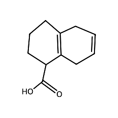 O=C(O)C1CCCC2=C1CC=CC2